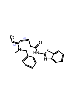 CC/C=C(\C=C/CC(=O)Nc1nc2ccccc2s1)N(C)Cc1ccccc1